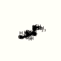 COCC(C)(C)c1nnc2ccc(O[C@@H]3CC[C@H](NC(=O)Nc4cc(C(C)(C)C)nc(C(=O)NCCCN5CCOCC5)n4)c4ccccc43)cn12